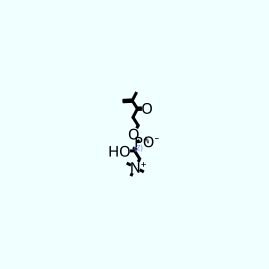 C=C(C)C(=O)CCO/[P+]([O-])=C(\O)C[N+](C)(C)C